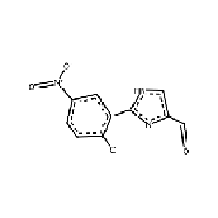 O=Cc1c[nH]c(-c2cc([N+](=O)[O-])ccc2Cl)n1